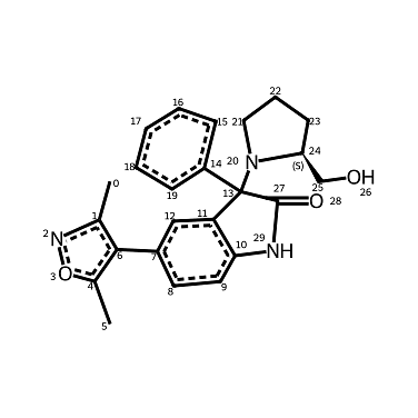 Cc1noc(C)c1-c1ccc2c(c1)C(c1ccccc1)(N1CCC[C@H]1CO)C(=O)N2